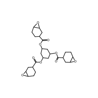 O=C(OC1CC(OC(=O)C2CCC3OC3C2)CC(OC(=O)C2CCC3OC3C2)C1)C1CCC2OC2C1